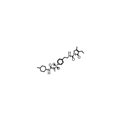 CCC1=C(C)CN(C(=O)NCCc2ccc(S(=O)(=O)N(C)C(=O)NC3CCC(C)CC3)cc2)C1=O